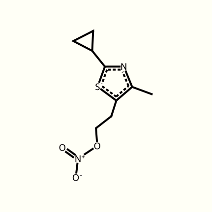 Cc1nc(C2CC2)sc1CCO[N+](=O)[O-]